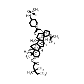 C=C(C)[C@@H]1CC[C@]2(CC(=O)N3CCC(NS(C)(=O)=O)CC3)CC[C@]3(C)[C@H](CC[C@@H]4[C@@]5(C)CC[C@H](OC(=O)CC(C)(C)CC(=O)O)C(C)(C)[C@@H]5CC[C@]43C)[C@@H]12